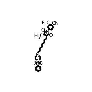 CC1=C(CCCCCCCCN2CCN(S(=O)(=O)c3ccccc3)CC2)C(=O)N(c2ccc(C#N)c(C(F)(F)F)c2)C1=O